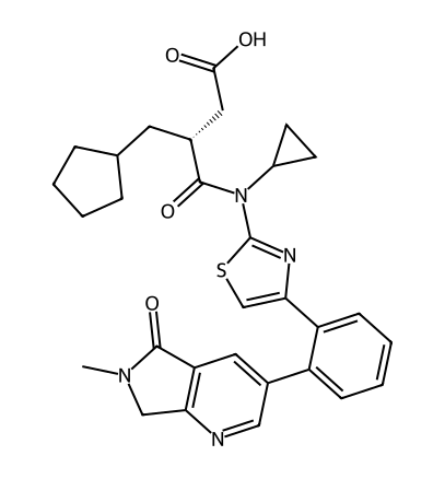 CN1Cc2ncc(-c3ccccc3-c3csc(N(C(=O)[C@@H](CC(=O)O)CC4CCCC4)C4CC4)n3)cc2C1=O